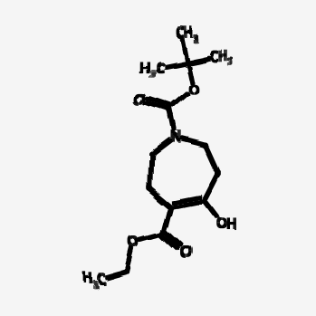 CCOC(=O)C1=C(O)CCN(C(=O)OC(C)(C)C)CC1